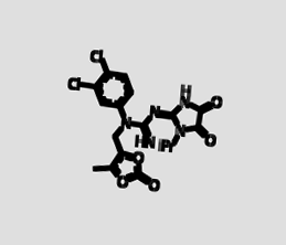 Cc1oc(=O)oc1CN(C(=N)N=C1NC(=O)C(=O)N1C(C)C)c1ccc(Cl)c(Cl)c1